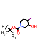 CC(C)(C)OC(=O)N1CCC(I)C(O)C1